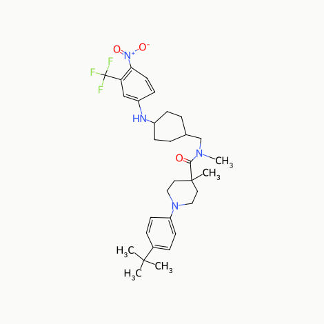 CN(CC1CCC(Nc2ccc([N+](=O)[O-])c(C(F)(F)F)c2)CC1)C(=O)C1(C)CCN(c2ccc(C(C)(C)C)cc2)CC1